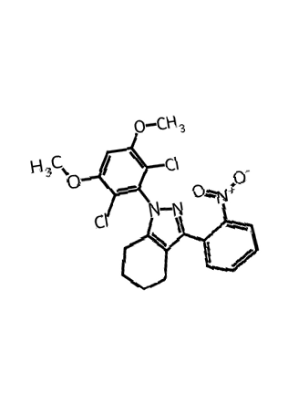 COc1cc(OC)c(Cl)c(-n2nc(-c3ccccc3[N+](=O)[O-])c3c2CCCC3)c1Cl